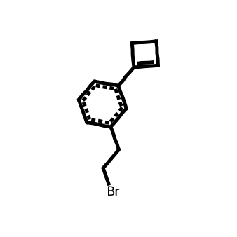 BrCCc1cccc(C2=CCC2)c1